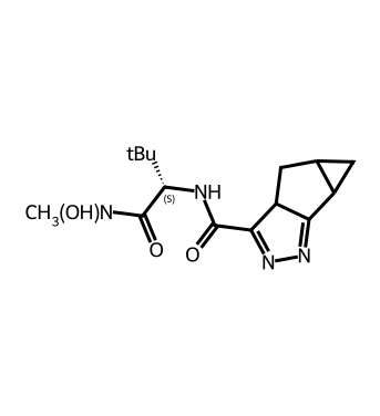 CN(O)C(=O)[C@@H](NC(=O)C1=NN=C2C1CC1CC21)C(C)(C)C